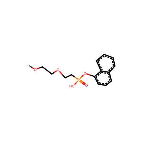 CCOCCOCCP(=O)(O)Oc1cccc2ccccc12